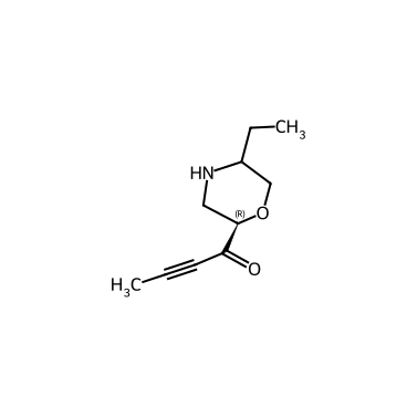 CC#CC(=O)[C@H]1CNC(CC)CO1